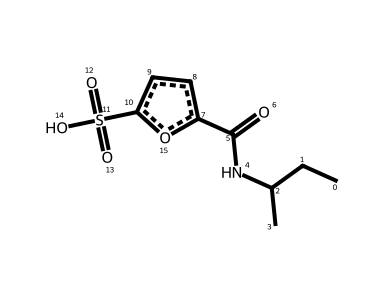 CCC(C)NC(=O)c1ccc(S(=O)(=O)O)o1